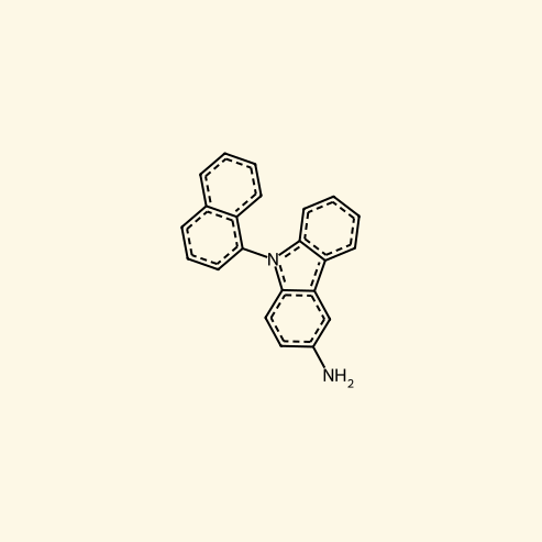 Nc1ccc2c(c1)c1ccccc1n2-c1cccc2ccccc12